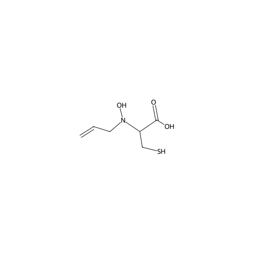 C=CCN(O)C(CS)C(=O)O